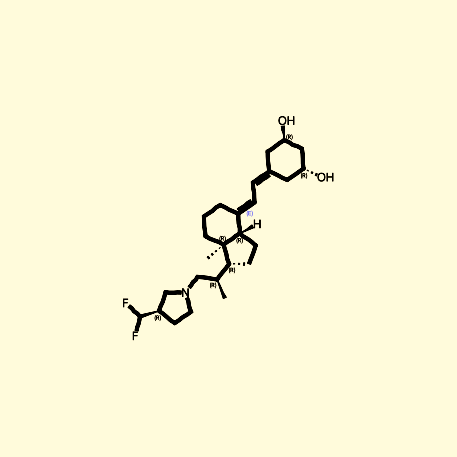 C[C@@H](CN1CC[C@@H](C(F)F)C1)[C@H]1CC[C@H]2/C(=C/C=C3C[C@@H](O)C[C@H](O)C3)CCC[C@]12C